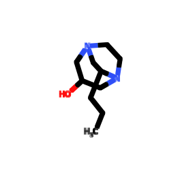 CCCC1CN2CCN1CC(O)C2